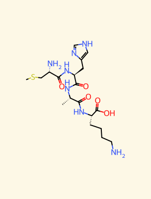 CSC[C@H](N)C(=O)N[C@@H](Cc1c[nH]cn1)C(=O)N[C@@H](C)C(=O)N[C@@H](CCCCN)C(=O)O